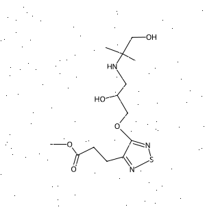 COC(=O)CCc1nsnc1OCC(O)CNC(C)(C)CO